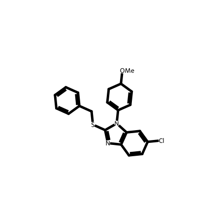 COC1C=CC(n2c(SCc3ccccc3)nc3ccc(Cl)cc32)=CC1